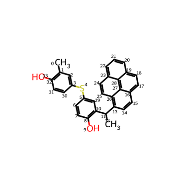 Cc1cc(Sc2ccc(O)c(C(C)c3ccc4ccc5cccc6ccc3c4c56)c2)ccc1O